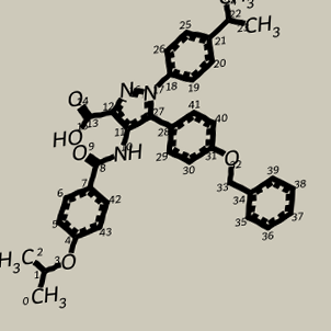 CC(C)Oc1ccc(C(=O)Nc2c(C(=O)O)nn(-c3ccc(C(C)C)cc3)c2-c2ccc(OCc3ccccc3)cc2)cc1